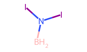 BN(I)I